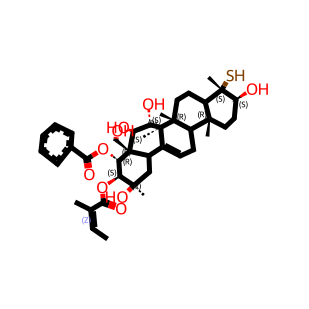 C/C=C(/C)C(=O)O[C@H]1[C@H](OC(=O)c2ccccc2)[C@@]2(CO)C(C[C@@]1(C)O)C1=CCC3[C@@]4(C)CC[C@H](O)[C@@](C)(S)C4CC[C@@]3(C)[C@]1(C)[C@@H](O)[C@H]2O